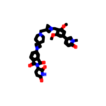 COc1cc(-c2ccc(=O)n(C)c2)cc(OC)c1CN1CC(CN2CCC3(CC2)CN(c2ccc4c(c2)C(=O)N(C2CCC(=O)NC2=O)C4=O)C3)C1